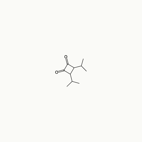 CC(C)C1C(=O)C(=O)C1C(C)C